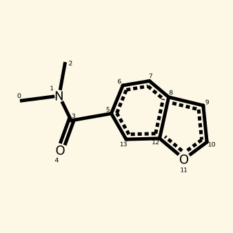 CN(C)C(=O)c1ccc2ccoc2c1